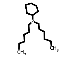 CCCCCCP(CCCCCC)C1CCCCC1